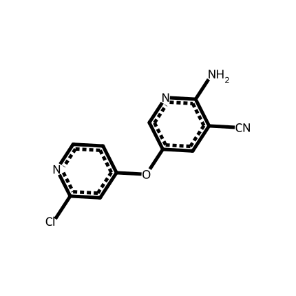 N#Cc1cc(Oc2ccnc(Cl)c2)cnc1N